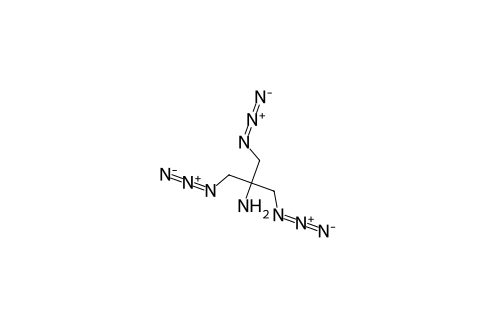 [N-]=[N+]=NCC(N)(CN=[N+]=[N-])CN=[N+]=[N-]